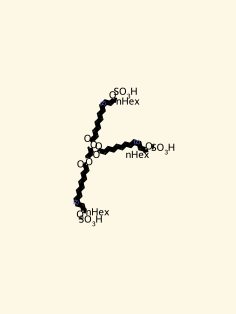 CCCCCCC(C/C=C\CCCCCCCC(=O)OCC(COC(=O)CCCCCCC/C=C\CC(CCCCCC)OS(=O)(=O)O)OC(=O)CCCCCCC/C=C\CC(CCCCCC)OS(=O)(=O)O)OS(=O)(=O)O